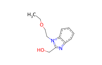 CCOCCn1c(CO)nc2ccccc21